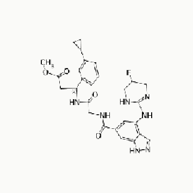 COC(=O)C[C@H](NC(=O)CNC(=O)c1cc(NC2=NCC(F)CN2)c2cn[nH]c2c1)c1cccc(C2CC2)c1